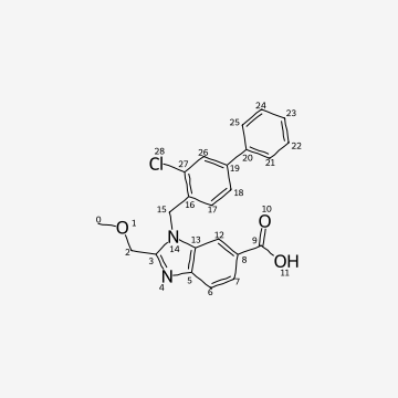 COCc1nc2ccc(C(=O)O)cc2n1Cc1ccc(-c2ccccc2)cc1Cl